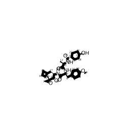 COc1ccc(C[C@H](NC(=O)[C@@H](C)NC(=O)[C@H]2CC[C@H](O)CC2)C(=O)N[C@@H](CC2CCC2)C(=O)[C@@]2(C)CO2)cc1